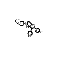 Fc1ccc(-c2nc3ccc(N4CCN(CC(F)(F)F)CC4)nn3c2-c2ccncc2)cc1